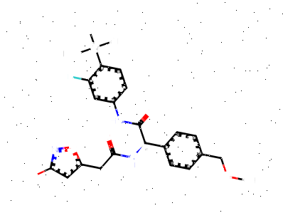 COCc1ccc([C@@H](NC(=O)Cc2cc(O)no2)C(=O)Nc2ccc([Si](C)(C)C)c(F)c2)cc1